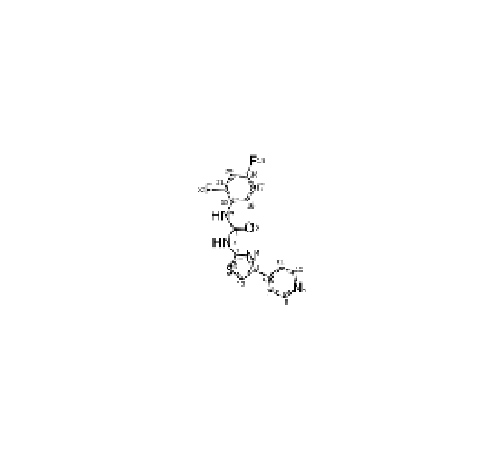 O=C(Nc1nc(-c2ccncc2)cs1)Nc1ccc(F)cc1F